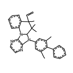 C=CC1(C)c2ccccc2N2c3nccnc3N(c3cc(C)c(-c4ccccc4)c(C)c3)C2C1(C)C